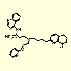 O=C(O)[C@H](CCN(CCCCc1ccc2c(n1)NCCC2)CCOc1ccccn1)Nc1ncnc2ccccc12